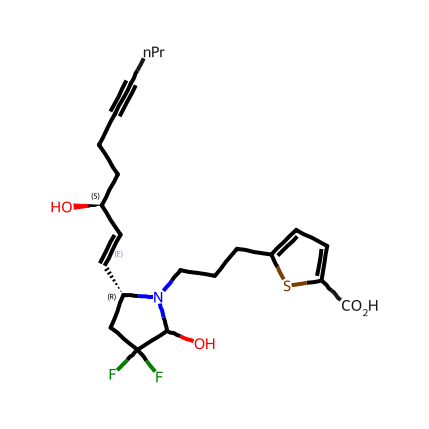 CCCC#CCC[C@H](O)/C=C/[C@H]1CC(F)(F)C(O)N1CCCc1ccc(C(=O)O)s1